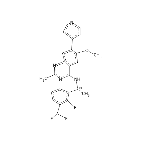 COc1cc2c(N[C@H](C)c3cccc(C(F)F)c3F)nc(C)nc2cc1-c1ccncc1